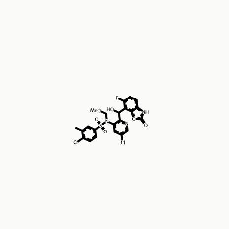 COCN(c1cc(Cl)cnc1C(O)c1c(F)ccc2[nH]c(=O)oc12)S(=O)(=O)c1ccc(Cl)c(C)c1